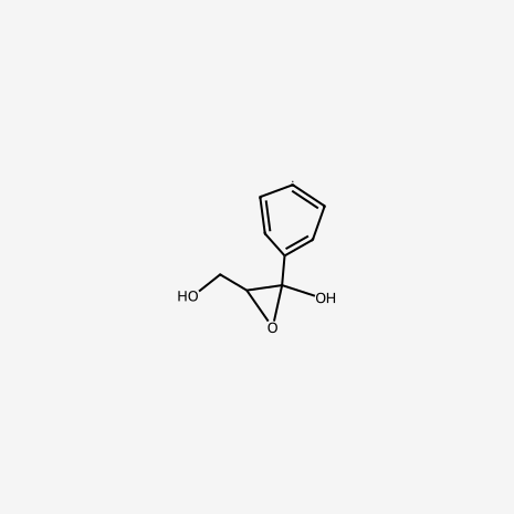 OCC1OC1(O)c1cc[c]cc1